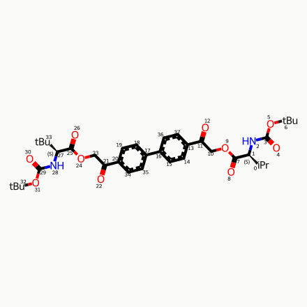 CC(C)[C@H](NC(=O)OC(C)(C)C)C(=O)OCC(=O)c1ccc(-c2ccc(C(=O)COC(=O)[C@@H](NC(=O)OC(C)(C)C)C(C)(C)C)cc2)cc1